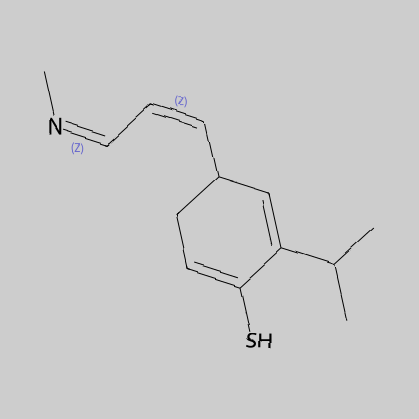 C/N=C\C=C/C1C=C(C(C)C)C(S)=CC1